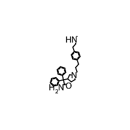 CNCCc1ccc(CCCN2CCC(C(C(N)=O)(c3ccccc3)c3ccccc3)C2)cc1